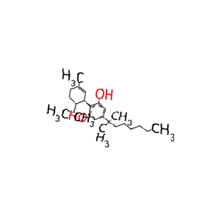 CCCCCCC(C)(C)c1cc(O)c([C@@H]2C=C(C)CCC2C(C)C)c(O)c1